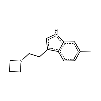 Ic1ccc2c(CCN3CCC3)c[nH]c2c1